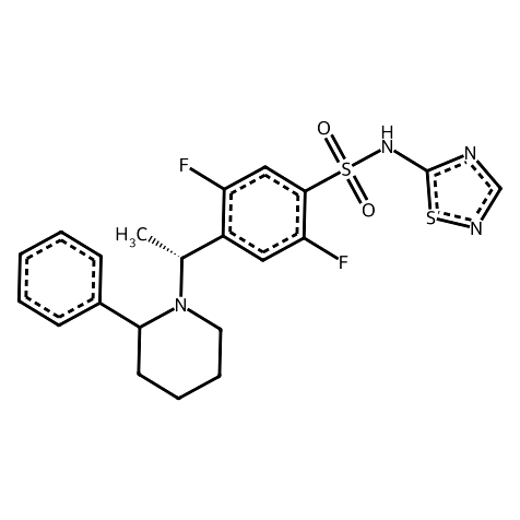 C[C@H](c1cc(F)c(S(=O)(=O)Nc2ncns2)cc1F)N1CCCCC1c1ccccc1